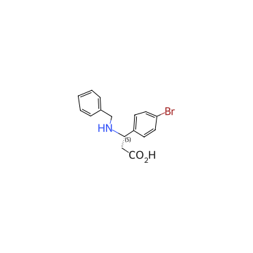 O=C(O)C[C@H](NCc1ccccc1)c1ccc(Br)cc1